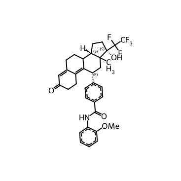 COc1ccccc1NC(=O)c1ccc([C@H]2CC3(C)[C@@H](CC[C@@]3(O)C(F)(F)C(F)(F)F)C3CCC4=CC(=O)CCC4=C32)cc1